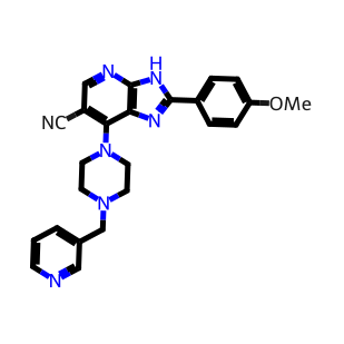 COc1ccc(-c2nc3c(N4CCN(Cc5cccnc5)CC4)c(C#N)cnc3[nH]2)cc1